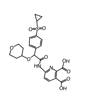 O=C(O)c1ccc(NC(=O)C(OC2CCOCC2)c2ccc(S(=O)(=O)C3CC3)cc2)nc1C(=O)O